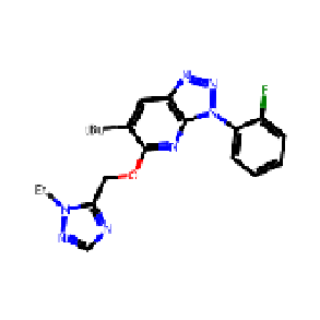 CCn1ncnc1COc1nc2c(cc1C(C)(C)C)nnn2-c1ccccc1F